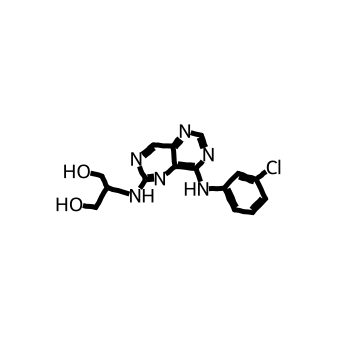 OCC(CO)Nc1ncc2ncnc(Nc3cccc(Cl)c3)c2n1